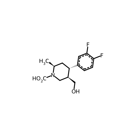 C[C@H]1C[C@H](c2ccc(F)c(F)c2)[C@@H](CO)CN1C(=O)O